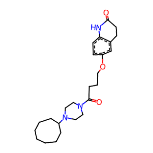 O=C1CCc2cc(OCCCC(=O)N3CCN(C4CCCCCCC4)CC3)ccc2N1